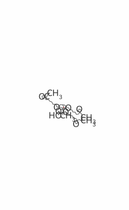 CCCC1(CCCCCCOC(=C(C)C(=O)O)C23CC4CC(OCCCCCCC5(CCC)COC5)(CC(OCCCCCCC5(CCC)COC5)(C4)C2)C3)COC1